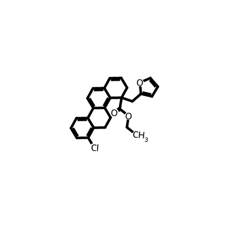 CCOC(=O)C1(Cc2ccco2)CC=Cc2ccc3c(c21)CCc1c(Cl)cccc1-3